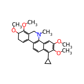 COC1=C2CN(C)c3c(ccc4c(C5CC5)c(OC)c(OC)cc34)C2=CCC1OC